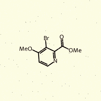 COC(=O)c1nccc(OC)c1Br